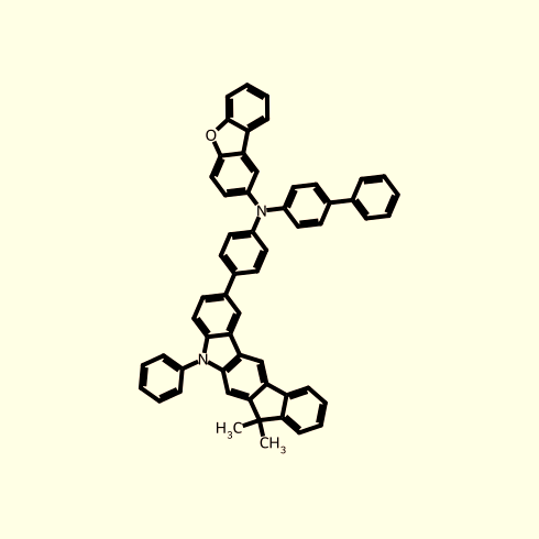 CC1(C)c2ccccc2-c2cc3c4cc(-c5ccc(N(c6ccc(-c7ccccc7)cc6)c6ccc7oc8ccccc8c7c6)cc5)ccc4n(-c4ccccc4)c3cc21